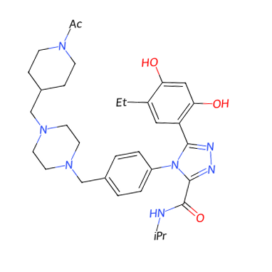 CCc1cc(-c2nnc(C(=O)NC(C)C)n2-c2ccc(CN3CCN(CC4CCN(C(C)=O)CC4)CC3)cc2)c(O)cc1O